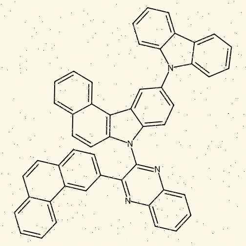 c1ccc2c(c1)ccc1ccc(-c3nc4ccccc4nc3-n3c4ccc(-n5c6ccccc6c6ccccc65)cc4c4c5ccccc5ccc43)cc12